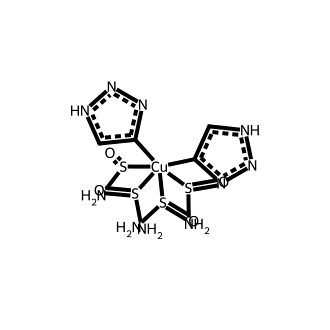 N[S](=O)[Cu]([c]1c[nH]nn1)([c]1c[nH]nn1)([S](N)=O)([S](N)=O)[S](N)=O